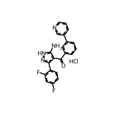 Cl.Nc1[nH]nc(-c2ccc(F)cc2F)c1C(=O)c1cccc(-c2cccnc2)c1